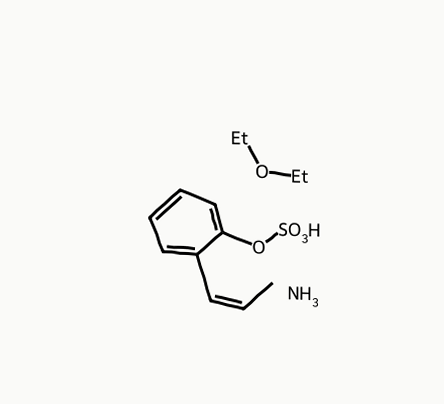 C/C=C\c1ccccc1OS(=O)(=O)O.CCOCC.N